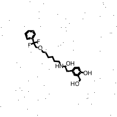 OCc1cc(CC(O)NCCCCCCOCC(F)(F)c2ccccc2)ccc1O